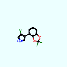 FC1(F)Oc2cccc(-c3c[nH]cc3Cl)c2O1